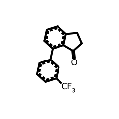 O=C1CCc2cccc(-c3cccc(C(F)(F)F)c3)c21